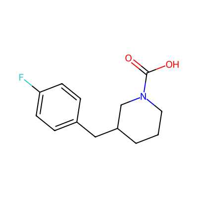 O=C(O)N1CCCC(Cc2ccc(F)cc2)C1